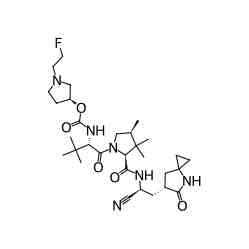 C[C@@H]1CN(C(=O)[C@@H](NC(=O)O[C@H]2CCN(CCF)C2)C(C)(C)C)[C@H](C(=O)N[C@H](C#N)C[C@@H]2CC3(CC3)NC2=O)C1(C)C